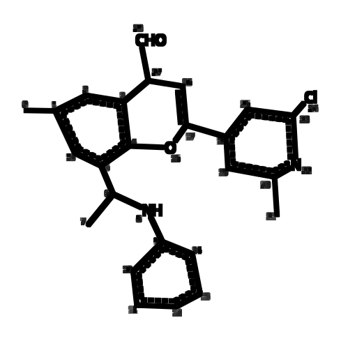 Cc1cc2c(c(C(C)Nc3ccccc3)c1)OC(c1cc(C)nc(Cl)c1)=CC2C=O